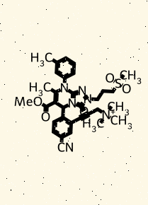 COC(=O)C1=C(C)N(c2cccc(C)c2)c2nn(CCCS(C)(=O)=O)c(=O)n2C1c1ccc(C#N)cc1C#CC[N+](C)(C)C